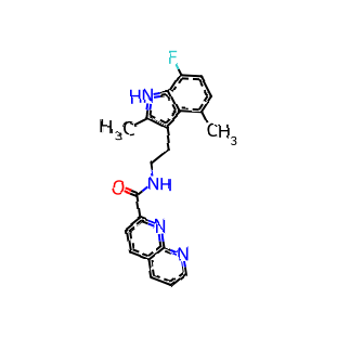 Cc1[nH]c2c(F)ccc(C)c2c1CCNC(=O)c1ccc2cccnc2n1